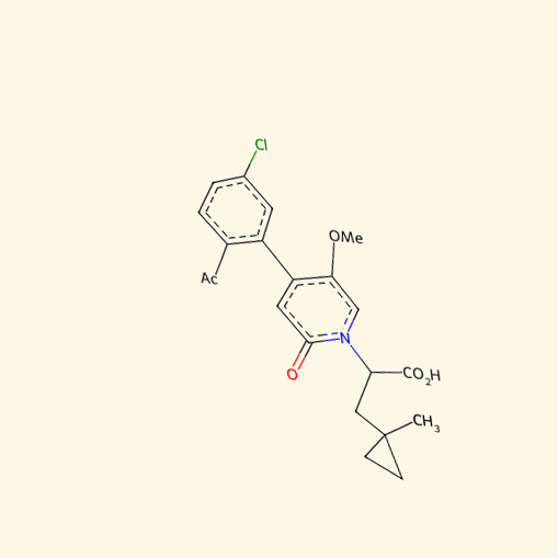 COc1cn(C(CC2(C)CC2)C(=O)O)c(=O)cc1-c1cc(Cl)ccc1C(C)=O